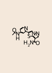 CC(=O)Nc1ccnc(-c2cn3ncc(C(N)=O)c3s2)c1